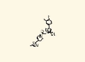 CCc1cc(-c2ccc(F)c(C)c2)nn1CC(=O)N1CC=C(c2ncc(C)s2)CC1